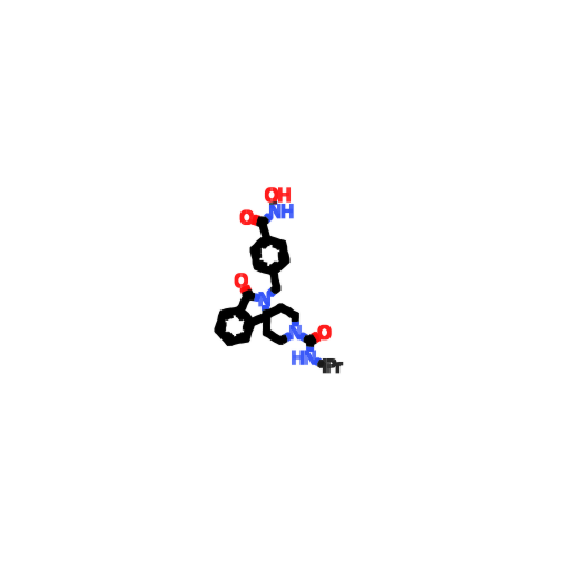 CC(C)NC(=O)N1CCC2(CC1)c1ccccc1C(=O)N2Cc1ccc(C(=O)NO)cc1